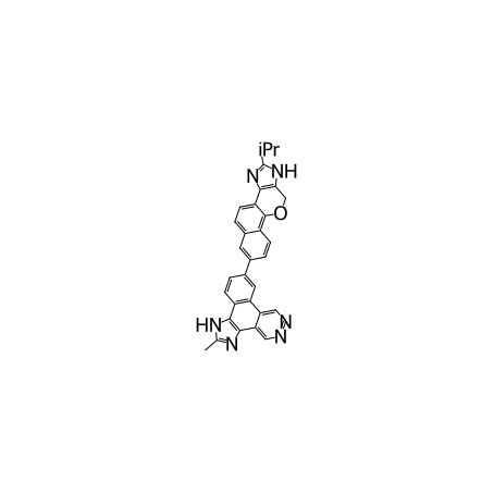 Cc1nc2c3cnncc3c3cc(-c4ccc5c6c(ccc5c4)-c4nc(C(C)C)[nH]c4CO6)ccc3c2[nH]1